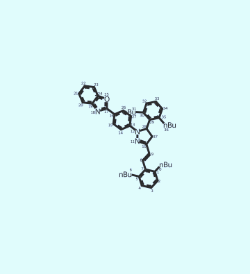 CCCCc1cccc(CCCC)c1C=CC1=NN(c2ccc(-c3nc4ccccc4o3)cc2)C(c2c(CCCC)cccc2CCCC)C1